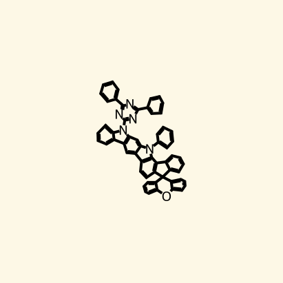 c1ccc(-c2nc(-c3ccccc3)nc(-n3c4ccccc4c4cc5c6ccc7c(c6n(-c6ccccc6)c5cc43)-c3ccccc3C73c4ccccc4Oc4ccccc43)n2)cc1